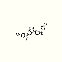 O=C(c1ccc(Cl)cc1)N1CCN(C2CN(C(=O)c3ccc(Cl)cc3)CC2O)CC1